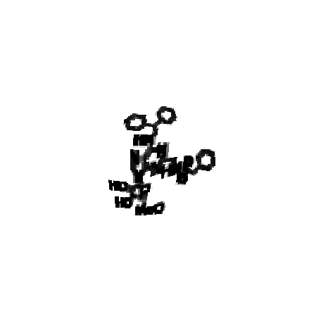 COC[C@H]1O[C@@H](n2cnc3c(NCC(c4ccccc4)c4ccccc4)nc(CNS(=O)(=O)Cc4ccccc4)nc32)[C@@H](O)[C@@H]1O